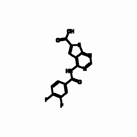 O=C(Nc1ncnc2sc(C(=O)O)cc12)c1ccc(F)c(F)c1